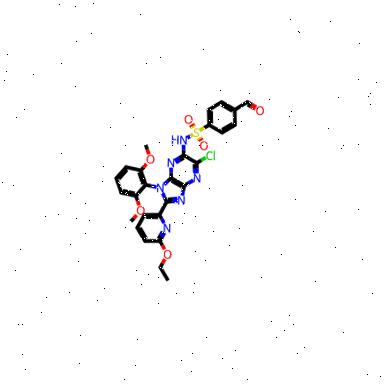 CCOc1cccc(-c2nc3nc(Cl)c(NS(=O)(=O)c4ccc(C=O)cc4)nc3n2-c2c(OC)cccc2OC)n1